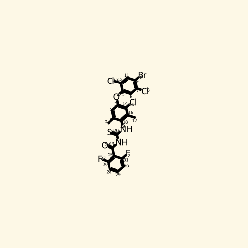 Cc1cc(Oc2cc(Cl)c(Br)cc2Cl)c(Cl)c(C)c1NC(=S)NC(=O)c1c(F)cccc1F